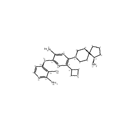 Nc1nc(N2CCC3(CCC[C@H]3N)CC2)c(C2COC2)nc1Sc1ccnc(N)c1Cl